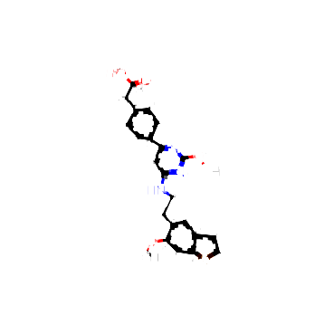 COc1nc(NCCc2cc3ccsc3cc2OC)cc(-c2ccc(CC(=O)O)cc2)n1